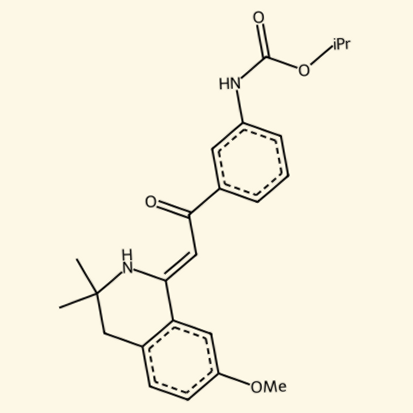 COc1ccc2c(c1)C(=CC(=O)c1cccc(NC(=O)OC(C)C)c1)NC(C)(C)C2